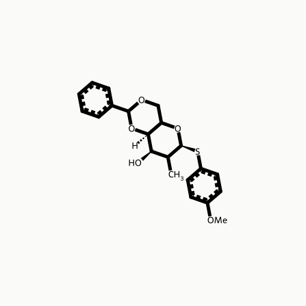 COc1ccc(S[C@@H]2OC3COC(c4ccccc4)O[C@@H]3[C@H](O)C2C)cc1